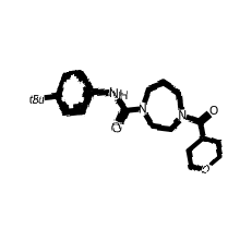 CC(C)(C)c1ccc(NC(=O)N2CCCN(C(=O)C3CCOCC3)CC2)cc1